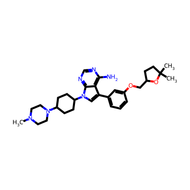 CN1CCN(C2CCC(n3cc(-c4cccc(OCC5CCC(C)(C)O5)c4)c4c(N)ncnc43)CC2)CC1